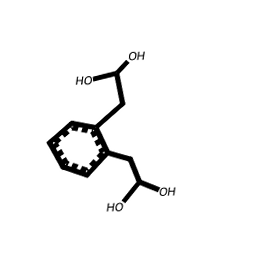 OC(O)Cc1ccccc1CC(O)O